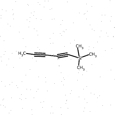 CC#CC#C[Si](C)(C)C